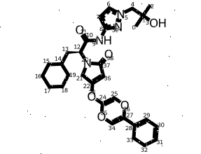 CC(C)(O)Cn1ccc(NC(=O)[C@H](CC2CCCCC2)N2CC(OC3=COC(C4=CC=CCC4)=CO3)=CC2=O)n1